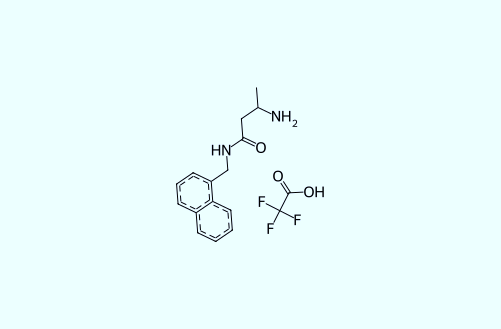 CC(N)CC(=O)NCc1cccc2ccccc12.O=C(O)C(F)(F)F